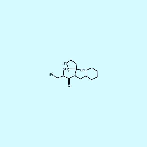 CC(C)CC(N)C(=O)N(CC1CCCCC1)C1(C#N)CCNC1